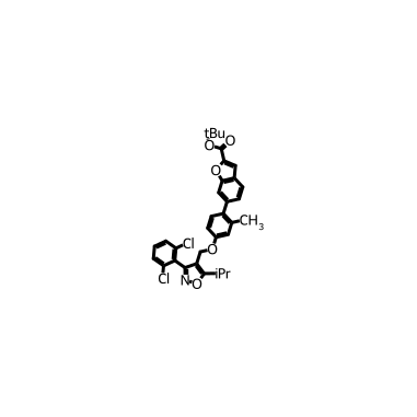 Cc1cc(OCc2c(-c3c(Cl)cccc3Cl)noc2C(C)C)ccc1-c1ccc2cc(C(=O)OC(C)(C)C)oc2c1